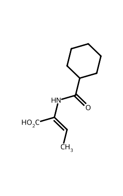 CC=C(NC(=O)C1CCCCC1)C(=O)O